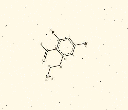 CC(=O)c1c(F)cc(Br)cc1CCN